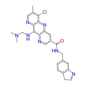 Cc1cnc2c(NCN(C)C)c3ncc(C(=O)NCc4ccc5c(c4)N=CC5)cc3nc2c1Cl